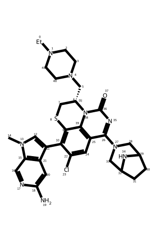 CCN1CCN(C[C@H]2CSc3c(-c4cn(C)c5cnc(N)cc45)c(Cl)cc4c(N5CC6CCC(C5)N6)nc(=O)n2c34)CC1